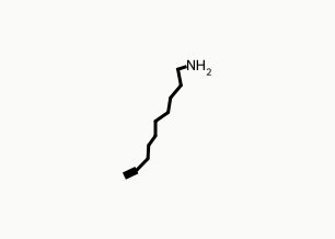 C#CCCCCCCCCN